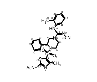 CC(=O)Nc1nc(C)c(S(=O)(=O)N2CCN(/C(=N\C#N)Nc3ccccc3C)CC2c2ccccc2)s1